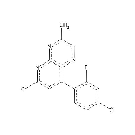 Cc1cnc2c(-c3ccc(Cl)cc3F)cc(Cl)nc2n1